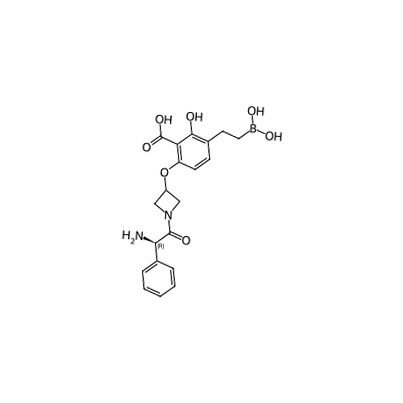 N[C@@H](C(=O)N1CC(Oc2ccc(CCB(O)O)c(O)c2C(=O)O)C1)c1ccccc1